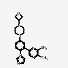 Cc1ncc(-c2cc(N3CCN(C4COC4)CC3)ccc2-n2ccnc2)nc1N